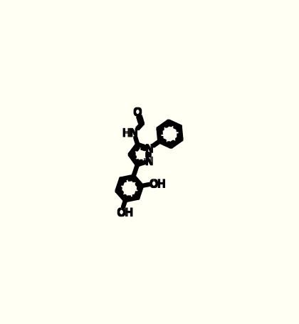 O=CNc1cc(-c2ccc(O)cc2O)nn1-c1ccccc1